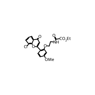 CCOC(=O)C(=O)NCCOc1cc(OC)ccc1-c1cc(=O)c2cccc(Cl)c2o1